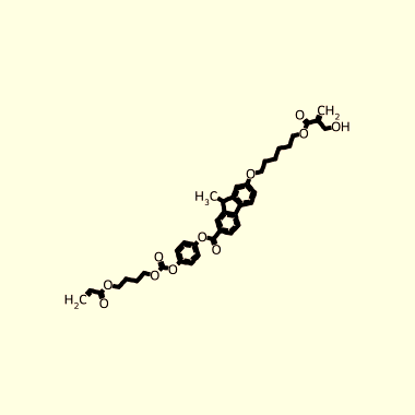 C=CC(=O)OCCCCOC(=O)Oc1ccc(OC(=O)c2ccc3c(c2)C(C)c2cc(OCCCCCCOC(=O)C(=C)CO)ccc2-3)cc1